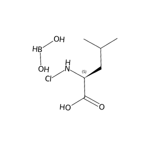 CC(C)C[C@H](NCl)C(=O)O.OBO